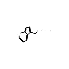 [CH2]CCCCCc1ccc2occcc1-2